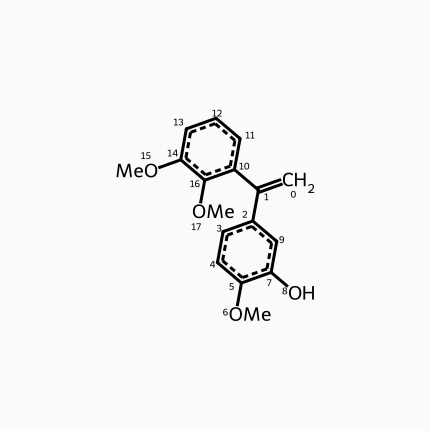 C=C(c1ccc(OC)c(O)c1)c1cccc(OC)c1OC